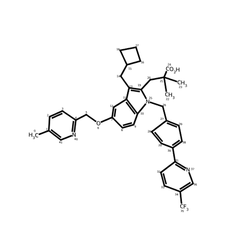 Cc1ccc(COc2ccc3c(c2)c(CC2CCC2)c(CC(C)(C)C(=O)O)n3Cc2ccc(-c3ccc(C(F)(F)F)cn3)cc2)nc1